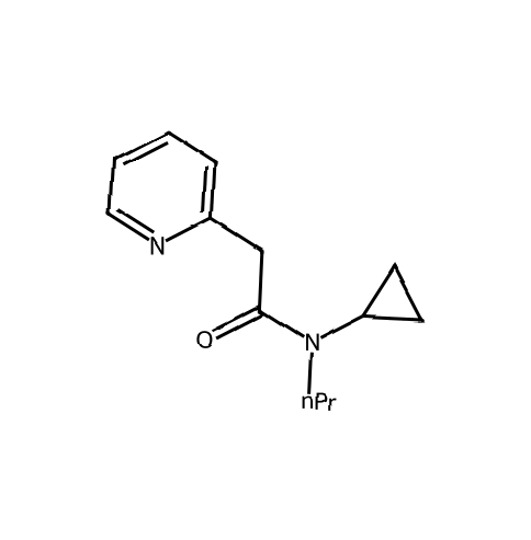 CCCN(C(=O)Cc1ccccn1)C1CC1